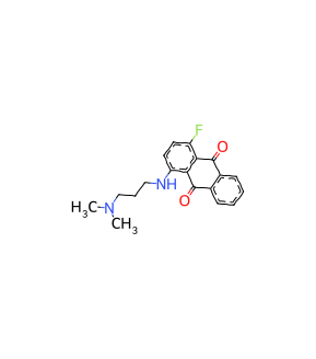 CN(C)CCCNc1ccc(F)c2c1C(=O)c1ccccc1C2=O